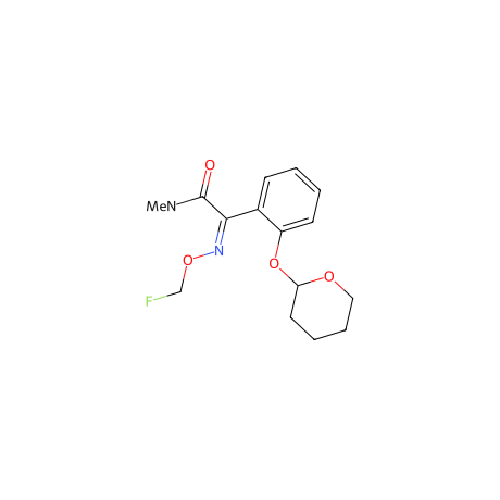 CNC(=O)C(=NOCF)c1ccccc1OC1CCCCO1